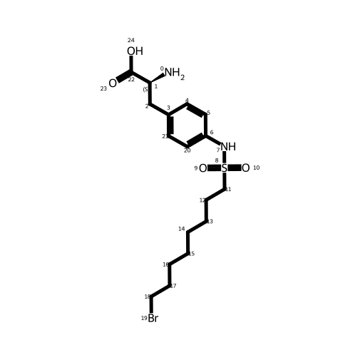 N[C@@H](Cc1ccc(NS(=O)(=O)CCCCCCCCBr)cc1)C(=O)O